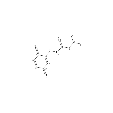 CC(C)CC(=O)OCC1=CC(=O)C=CC1=O